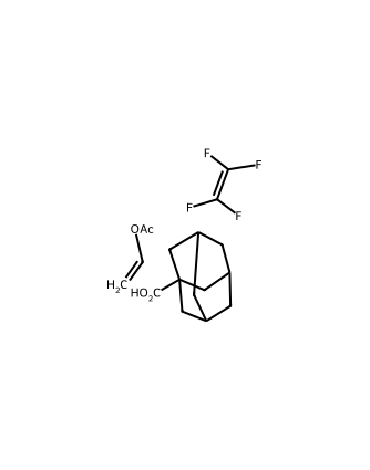 C=COC(C)=O.FC(F)=C(F)F.O=C(O)C12CC3CC(CC(C3)C1)C2